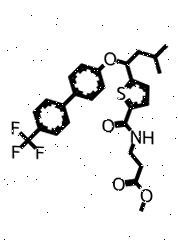 COC(=O)CCNC(=O)c1ccc(C(CC(C)C)Oc2ccc(-c3ccc(C(F)(F)F)cc3)cc2)s1